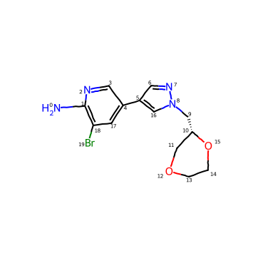 Nc1ncc(-c2cnn(C[C@H]3COCCO3)c2)cc1Br